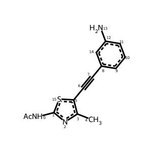 CC(=O)Nc1nc(C)c(C#Cc2cccc(N)c2)s1